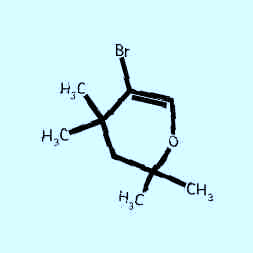 CC1(C)CC(C)(C)C(Br)=CO1